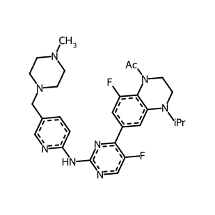 CC(=O)N1CCN(C(C)C)c2cc(-c3nc(Nc4ccc(CN5CCN(C)CC5)cn4)ncc3F)cc(F)c21